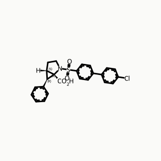 O=C(O)[C@@]12[C@@H](CCN1S(=O)(=O)c1ccc(-c3ccc(Cl)cc3)cc1)[C@@H]2c1ccccc1